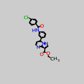 CCOC(=O)c1cnn2c(-c3cccc(NC(=O)c4ccc(Cl)cc4)c3)ccnc12